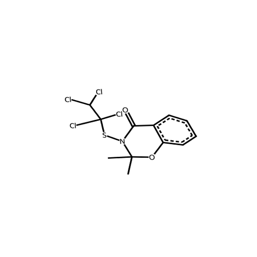 CC1(C)Oc2ccccc2C(=O)N1SC(Cl)(Cl)C(Cl)Cl